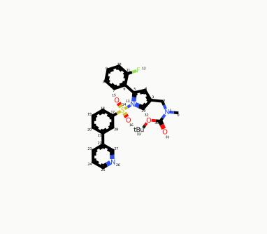 CN(Cc1cc(-c2ccccc2F)n(S(=O)(=O)c2cccc(-c3cccnc3)c2)c1)C(=O)OC(C)(C)C